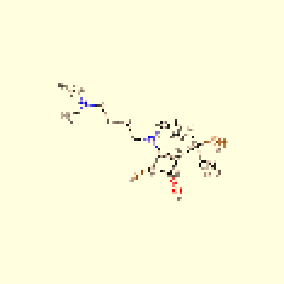 CN(C)CCCCN(C)c1c(C(C)(C)S)c(=O)c1=S